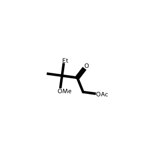 CCC(C)(OC)C(=O)COC(C)=O